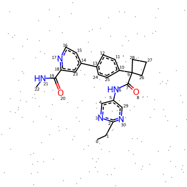 CCc1ncc(NC(=O)C2(c3ccc(-c4ccnc(C(=O)NC)c4)cc3)CCC2)cn1